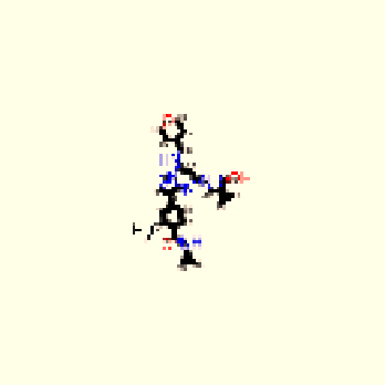 Cc1cc(-c2cnn3c(NCC4CCOCC4)cc(NCC4(CO)CC4)nc23)ccc1C(=O)NC1CC1